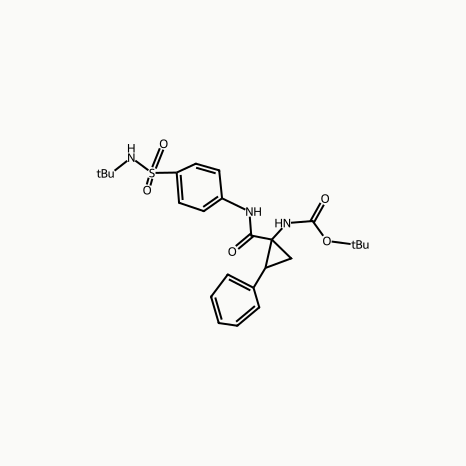 CC(C)(C)NS(=O)(=O)c1ccc(NC(=O)C2(NC(=O)OC(C)(C)C)CC2c2ccccc2)cc1